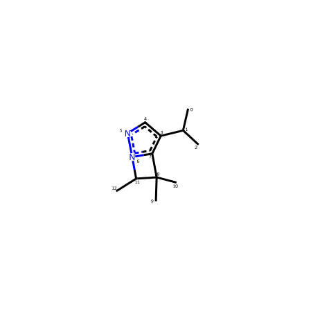 CC(C)c1cnn2c1C(C)(C)C2C